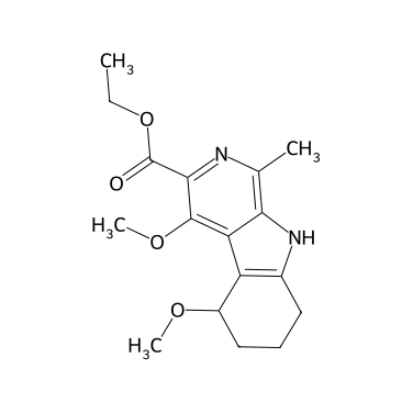 CCOC(=O)c1nc(C)c2[nH]c3c(c2c1OC)C(OC)CCC3